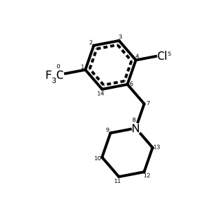 FC(F)(F)c1ccc(Cl)c(CN2CCCCC2)c1